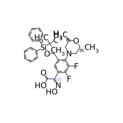 C[C@@H]1CN(c2c(CO[Si](c3ccccc3)(c3ccccc3)C(C)(C)C)cc(/C(=N/O)C(=O)O)c(F)c2F)C[C@@H](C)O1